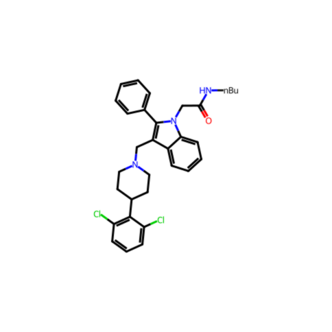 CCCCNC(=O)Cn1c(-c2ccccc2)c(CN2CCC(c3c(Cl)cccc3Cl)CC2)c2ccccc21